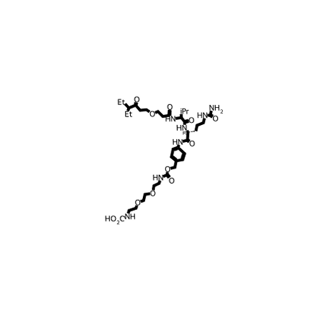 CCC(CC)C(=O)CCOCCC(=O)NC(C(=O)N[C@H](CCCNC(N)=O)C(=O)Nc1ccc(COC(=O)NCCOCCOCCNC(=O)O)cc1)C(C)C